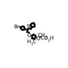 Cc1cc(OC/C=C(/c2ccc(Br)cc2)c2cc3ccccc3s2)ccc1OC(C)C(=O)O